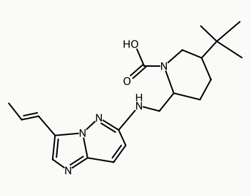 CC=Cc1cnc2ccc(NCC3CCC(C(C)(C)C)CN3C(=O)O)nn12